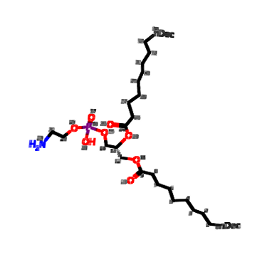 CCCCCCCCCCCCCCCCCCC(=O)OC[C@H](COP(=O)(O)OCCN)OC(=O)CCCCCCCCCCCCCCCCCC